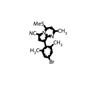 CSc1cc(C)nc2c(-c3c(C)cc(Br)cc3C)cc(C#N)n12